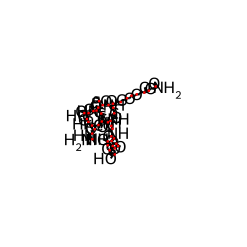 N=C(N)NCCC[C@@H]1CC(=O)[C@@H]2CSSC[C@H](NC(=O)[C@H](CC(=O)O)CC(=O)CNC1=O)C(=O)C[C@@H](Cc1ccccc1)C(=O)N[C@H](C(=O)CCCOCCOCCOCCCC(=O)COCC(N)=O)CSCC(=O)N[C@@H](CCCCNC(=O)c1ccc3c(c1)C1(OC3=O)c3ccc(O)cc3Oc3cc(O)ccc31)C(=O)N2